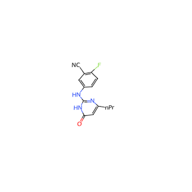 CCCc1cc(=O)[nH]c(Nc2ccc(F)c(C#N)c2)n1